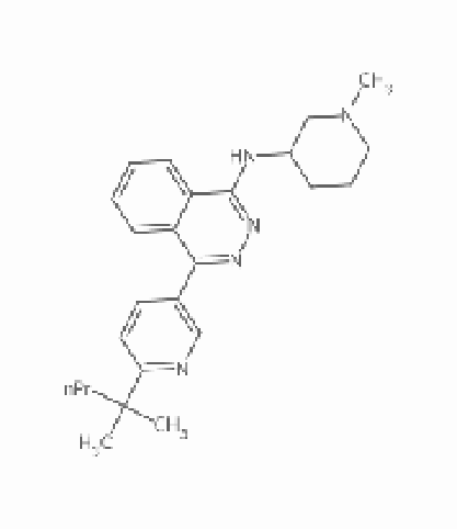 CCCC(C)(C)c1ccc(-c2nnc(NC3CCCN(C)C3)c3ccccc23)cn1